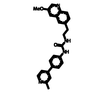 COc1cnc2ccc(CCNC(=O)Nc3ccc(-c4ccnc(C)c4)cc3)cc2c1